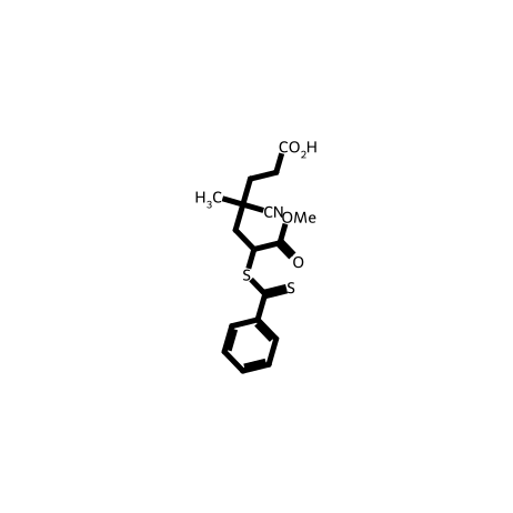 COC(=O)C(CC(C)(C#N)CCC(=O)O)SC(=S)c1ccccc1